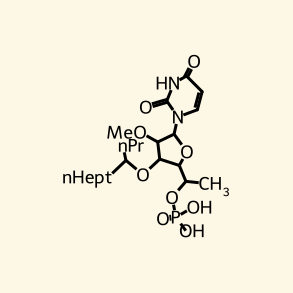 CCCCCCCC(CCC)OC1C(C(C)OP(=O)(O)O)OC(n2ccc(=O)[nH]c2=O)C1OC